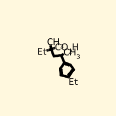 CCc1ccc(C(C)CC(C)(CC)C(=O)O)cc1